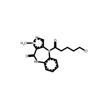 Cn1ncc2c1C(=O)Nc1ccccc1N2C(=O)CCCCCl